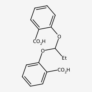 CCC(Oc1ccccc1C(=O)O)Oc1ccccc1C(=O)O